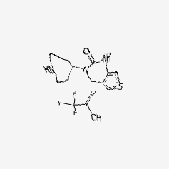 O=C(O)C(F)(F)F.O=C1Nc2cscc2CN1C1CCNCC1